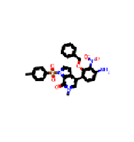 Cc1ccc(S(=O)(=O)n2ccc3c(-c4ccc(N)c([N+](=O)[O-])c4OCc4ccccc4)cn(C)c(=O)c32)cc1